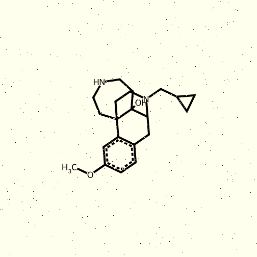 COc1ccc2c(c1)C13CCNCCC1(O)C(C2)N(CC1CC1)CC3